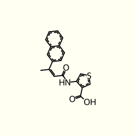 C/C(=C/C(=O)Nc1cscc1C(=O)O)c1ccc2ccccc2c1